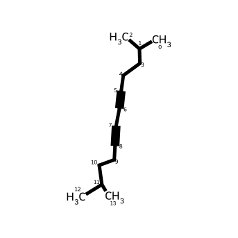 CC(C)CCC#CC#CCCC(C)C